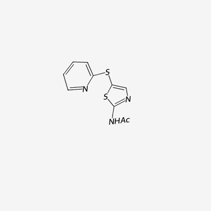 CC(=O)Nc1ncc(Sc2ccccn2)s1